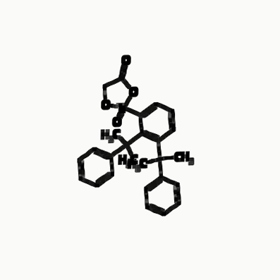 CC(C)(c1ccccc1)c1ccc[c]([Ti]2(=[O])[O]CC(=O)[O]2)c1C(C)(C)c1ccccc1